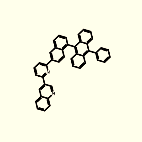 c1ccc(-c2c3ccccc3c(-c3cccc4cc(-c5cccc(-c6cnc7ccccc7c6)n5)ccc34)c3ccccc23)cc1